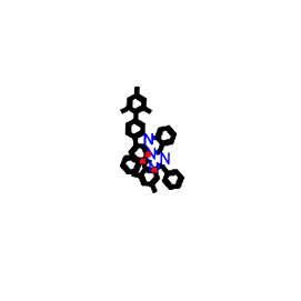 Cc1cc(C)c(-c2ccc3c4ccc(-c5c(C)cc(C)cc5C)cc4n(-c4ccccc4-c4nc(-c5ccccc5)nc(-c5ccccc5)n4)c3c2)c(C)c1